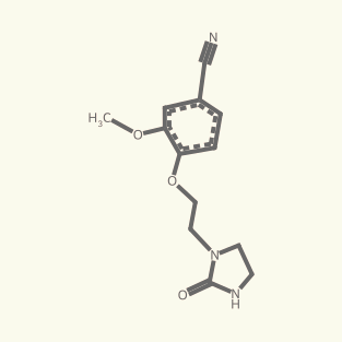 COc1cc(C#N)ccc1OCCN1CCNC1=O